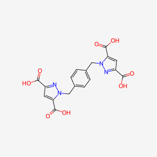 O=C(O)c1cc(C(=O)O)n(Cc2ccc(Cn3nc(C(=O)O)cc3C(=O)O)cc2)n1